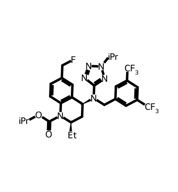 CC[C@@H]1C[C@H](N(Cc2cc(C(F)(F)F)cc(C(F)(F)F)c2)c2nnn(C(C)C)n2)c2cc(CF)ccc2N1C(=O)OC(C)C